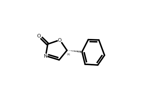 O=C1N=C[C@@H](c2ccccc2)O1